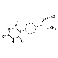 CCC(N=C=O)C1CCC(n2c(=O)[nH]c(=O)[nH]c2=O)CC1